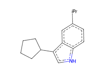 CC(C)c1ccc2[nH]cc(C3CCCC3)c2c1